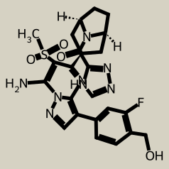 CS(=O)(=O)c1c([C@H]2C[C@H]3CC[C@@H](C2)N3C(=O)c2nnc[nH]2)nc2c(-c3ccc(CO)c(F)c3)cnn2c1N